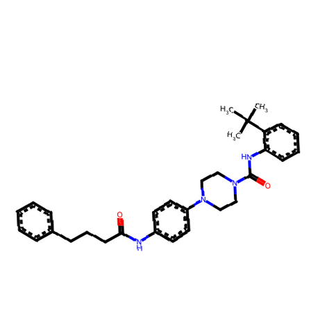 CC(C)(C)c1ccccc1NC(=O)N1CCN(c2ccc(NC(=O)CCCc3ccccc3)cc2)CC1